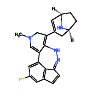 CN1C=C2C(=C(C3=C[C@H]4CC[C@@H](C3)N4)C1)NN=C1C=Cc3cc(F)cc2c31